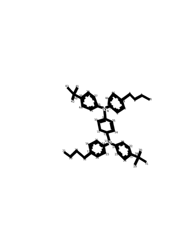 CCCCc1ccc(N(C2=CCC(N(c3ccc(CCCC)cc3)c3ccc(C(C)(C)C)cc3)C=C2)c2ccc(C(C)(C)C)cc2)cc1